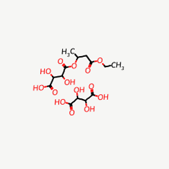 CCOC(=O)CC(C)OC(=O)C(O)C(O)C(=O)O.O=C(O)C(O)C(O)C(=O)O